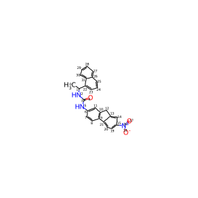 CC(NC(=O)Nc1ccc2c(c1)Cc1cc([N+](=O)[O-])ccc1-2)c1cccc2ccccc12